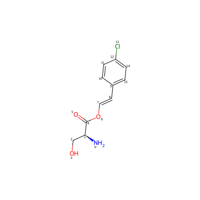 N[C@@H](CO)C(=O)OC=Cc1ccc(Cl)cc1